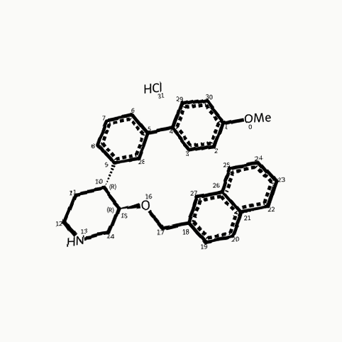 COc1ccc(-c2cccc([C@H]3CCNC[C@@H]3OCc3ccc4ccccc4c3)c2)cc1.Cl